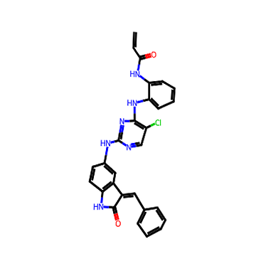 C=CC(=O)Nc1ccccc1Nc1nc(Nc2ccc3c(c2)/C(=C/c2ccccc2)C(=O)N3)ncc1Cl